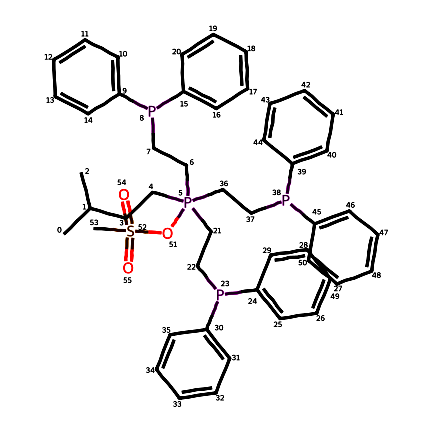 CC(C)CCP(CCP(c1ccccc1)c1ccccc1)(CCP(c1ccccc1)c1ccccc1)(CCP(c1ccccc1)c1ccccc1)OS(C)(=O)=O